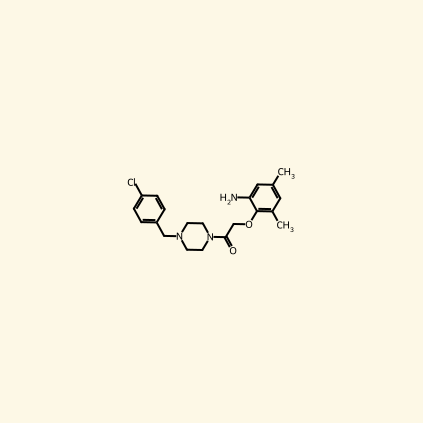 Cc1cc(C)c(OCC(=O)N2CCN(Cc3ccc(Cl)cc3)CC2)c(N)c1